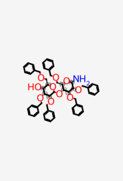 N[C@@H]1O[C@H](COCc2ccccc2)[C@H](OC2O[C@H](COCc3ccccc3)[C@H](O)[C@H](OCc3ccccc3)[C@H]2OCc2ccccc2)[C@H](OCc2ccccc2)[C@H]1OCc1ccccc1